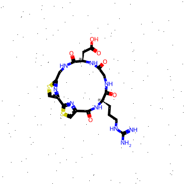 N=C(N)NCCC[C@H]1NC(=O)c2csc(n2)-c2csc(n2)CNC(=O)[C@@H](CC(=O)O)NC(=O)CNC1=O